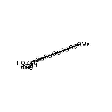 COCCOCCOCCOCCOCCOCCOCCOCCOCCOCCOCCSCC(NC(=O)OC(C)(C)C)C(=O)O